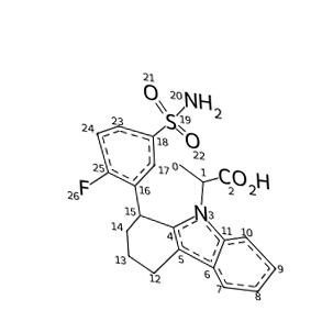 CC(C(=O)O)n1c2c(c3ccccc31)CCCC2c1cc(S(N)(=O)=O)ccc1F